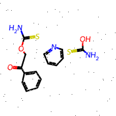 NC(=S)OCC(=O)c1ccccc1.NC(O)=S.c1ccncc1